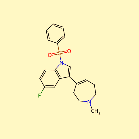 CN1CCC=C(c2cn(S(=O)(=O)c3ccccc3)c3ccc(F)cc23)CC1